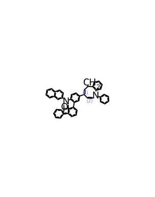 C=C1/C=C(c2ccc(Nc3ccc4ccccc4c3)c(-c3cccc4c3oc3ccccc34)c2)\C=C/N(c2ccccc2)c2ccccc21